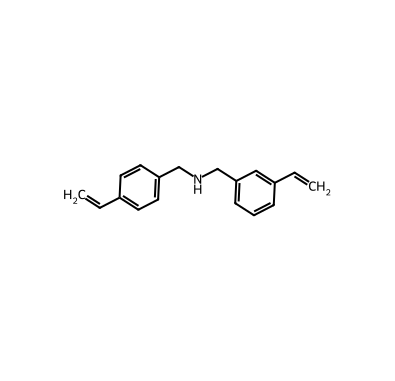 C=Cc1ccc(CNCc2cccc(C=C)c2)cc1